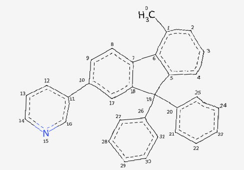 Cc1cccc2c1-c1ccc(-c3cccnc3)cc1C2(c1ccccc1)c1ccccc1